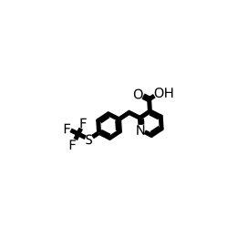 O=C(O)c1cccnc1Cc1ccc(SC(F)(F)F)cc1